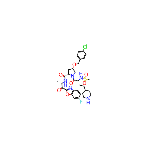 C[C@H](NC(=O)[C@@H]1C[C@@H](OCc2ccc(Cl)cc2)CN1C(=O)[C@@H](CCC1CCNCC1)NS(C)(=O)=O)C(=O)c1nc2ccc(F)cc2o1